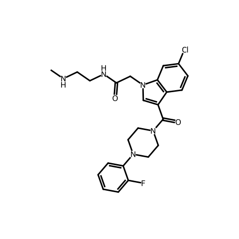 CNCCNC(=O)Cn1cc(C(=O)N2CCN(c3ccccc3F)CC2)c2ccc(Cl)cc21